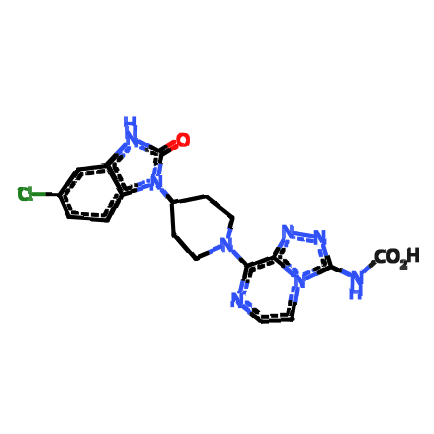 O=C(O)Nc1nnc2c(N3CCC(n4c(=O)[nH]c5cc(Cl)ccc54)CC3)nccn12